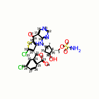 NS(=O)(=O)OC[C@H]1C[C@@H](Nc2ncncc2C(=O)c2cc([C@@H]3OC(=O)c4ccc(Cl)cc43)c(Cl)s2)C[C@@H]1O